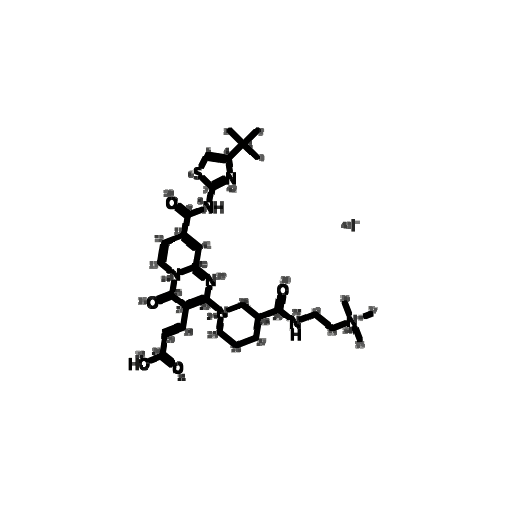 CC(C)(C)c1csc(NC(=O)c2ccn3c(=O)c(C=CC(=O)O)c(N4CCCC(C(=O)NCC[N+](C)(C)C)C4)nc3c2)n1.[I-]